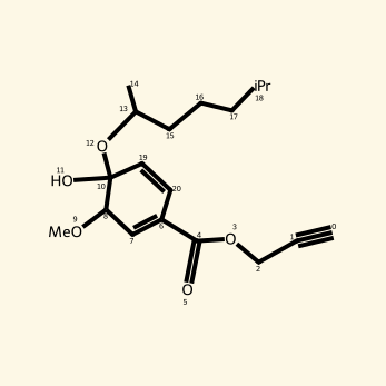 C#CCOC(=O)C1=CC(OC)C(O)(OC(C)CCCC(C)C)C=C1